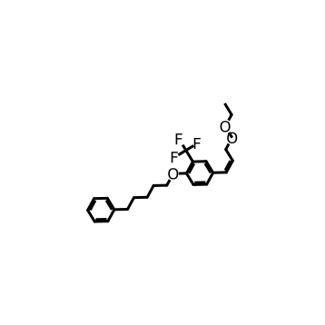 CCOOC/C=C\c1ccc(OCCCCCc2ccccc2)c(C(F)(F)F)c1